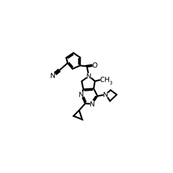 CC1c2c(nc(C3CC3)nc2N2CCC2)CN1C(=O)c1cccc(C#N)c1